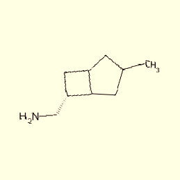 CC1CC2C[C@@H](CN)C2C1